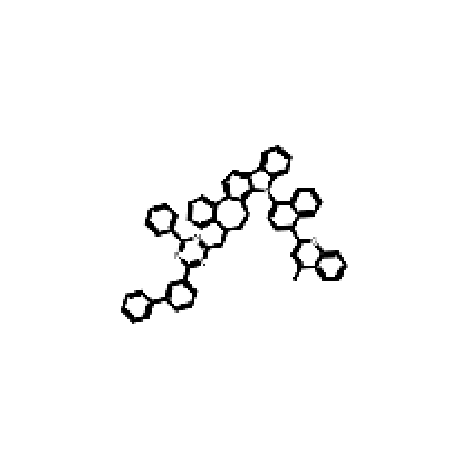 CC1=C=C(c2ccc(-n3c4ccccc4c4ccc5c(c43)CCC(Cc3nc(-c4ccccc4)nc(-c4cccc(-c6ccccc6)c4)n3)c3ccccc3-5)c3ccccc23)Oc2ccccc21